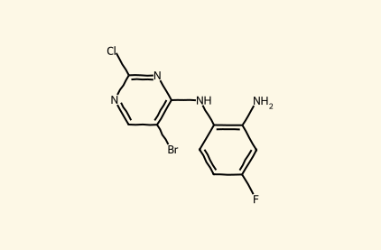 Nc1cc(F)ccc1Nc1nc(Cl)ncc1Br